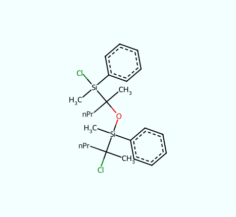 CCCC(C)(O[Si](C)(c1ccccc1)C(C)(Cl)CCC)[Si](C)(Cl)c1ccccc1